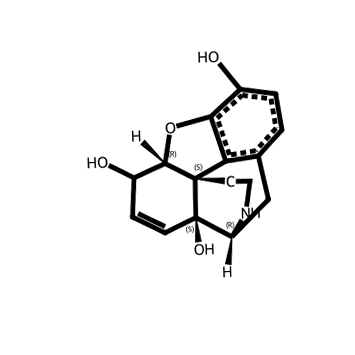 Oc1ccc2c3c1O[C@H]1C(O)C=C[C@@]4(O)[C@@H](C2)NCC[C@]314